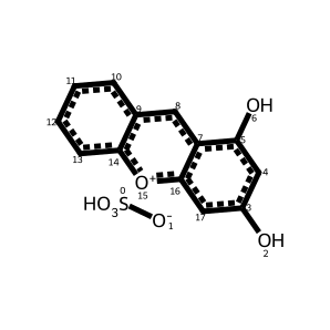 O=S(=O)([O-])O.Oc1cc(O)c2cc3ccccc3[o+]c2c1